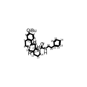 CC(C)COc1ccc2c(c1)CCN1C[C@H]3CCCN(C(=O)NCCc4ccccc4)[C@H]3C[C@H]21